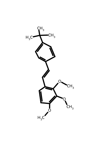 COc1ccc(C=Cc2ccc(C(C)(C)C)cc2)c(OC)c1OC